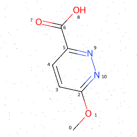 COc1ccc(C(=O)O)nn1